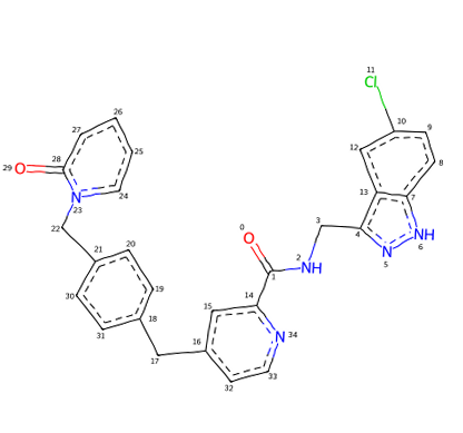 O=C(NCc1n[nH]c2ccc(Cl)cc12)c1cc(Cc2ccc(Cn3ccccc3=O)cc2)ccn1